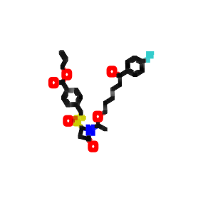 C=CCOC(=O)c1ccc(C[S+]([O-])C2CC(=O)N2C(C)OCCCCCC(=O)c2ccc(F)cc2)cc1